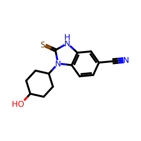 N#Cc1ccc2c(c1)[nH]c(=S)n2C1CCC(O)CC1